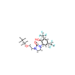 CC(C)(C)[Si](C)(C)OCCN1CCN(c2cc(C(F)(F)F)cc(C(F)(F)F)c2O)C1=O